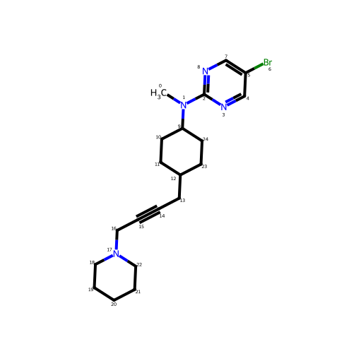 CN(c1ncc(Br)cn1)C1CCC(CC#CCN2CCCCC2)CC1